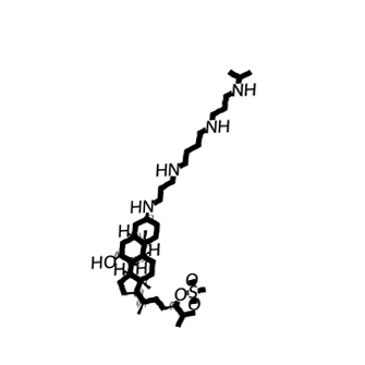 CC(C)NCCCNCCCCNCCCN[C@H]1CC[C@@]2(C)[C@H](C1)C[C@@H](O)[C@@H]1[C@@H]2CC[C@]2(C)[C@@H]([C@H](C)CC[C@@H](OS(C)(=O)=O)C(C)C)CC[C@@H]12